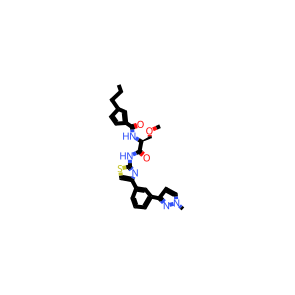 CCCC1C=CC(C(=O)N[C@@H](COC)C(=O)Nc2nc(-c3cccc(-c4ccn(C)n4)c3)cs2)=C1